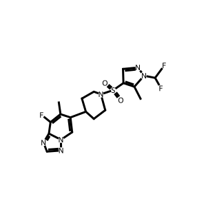 Cc1c(C2CCN(S(=O)(=O)c3cnn(C(F)F)c3C)CC2)cn2ncnc2c1F